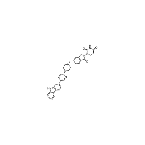 O=C1CCN(N2Cc3cc(CN4CCN(c5ccc(-c6ccc7c(c6)[nH]c6ccncc67)cn5)CC4)ccc3C2=O)C(=O)N1